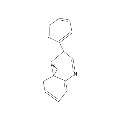 C1=CCC23CCSC2C(c2ccccc2)C=NC3=C1